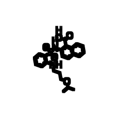 CC(C)OCCCNc1ccccc1S(=O)(=O)Nc1ccc2ccccc2c1C(=O)O